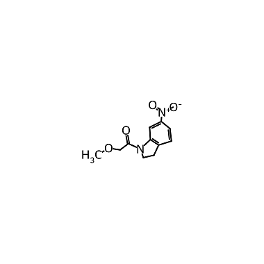 COCC(=O)N1CCc2ccc([N+](=O)[O-])cc21